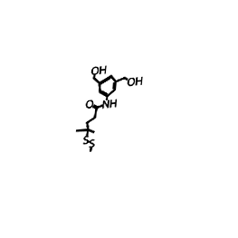 CSSC(C)(C)CCC(=O)Nc1cc(CO)cc(CO)c1